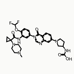 CN1CCN(C2(C(=O)Nc3cc(-n4cnc5cc(N6CCC(NC(=O)O)C6)ccc5c4=O)ccc3OC(F)F)CC2)CC1